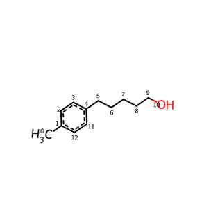 Cc1ccc(CCCCCO)cc1